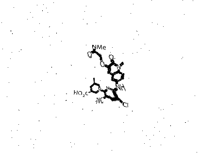 CNC(=O)COc1cc2cc(Nc3nc(N4C[C@H](C)C[C@H](C(=O)O)C4)c(C#N)cc3Cl)ccc2n(C)c1=O